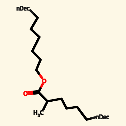 CCCCCCCCCCCCCCCCOC(=O)C(C)CCCCCCCCCCCCCC